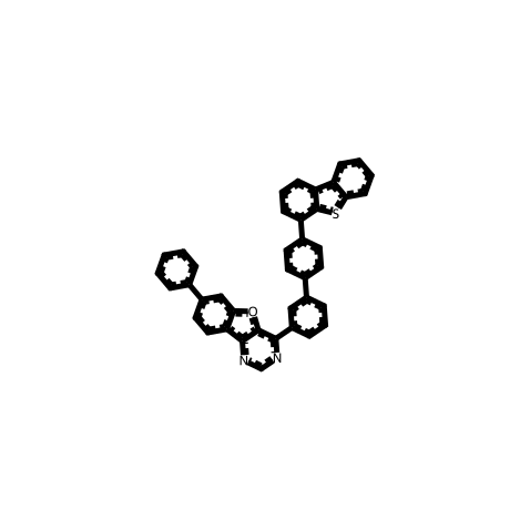 c1ccc(-c2ccc3c(c2)oc2c(-c4cccc(-c5ccc(-c6cccc7c6sc6ccccc67)cc5)c4)ncnc23)cc1